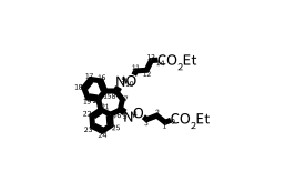 CCOC(=O)CCCON=C1CC(=NOCCCC(=O)OCC)c2ccccc2-c2ccccc21